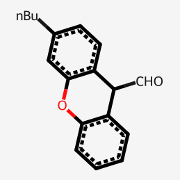 CCCCc1ccc2c(c1)Oc1ccccc1C2C=O